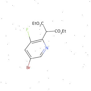 CCOC(=O)C(C(=O)OCC)c1ncc(Br)cc1F